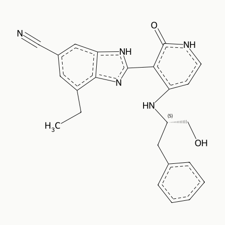 CCc1cc(C#N)cc2[nH]c(-c3c(N[C@H](CO)Cc4ccccc4)cc[nH]c3=O)nc12